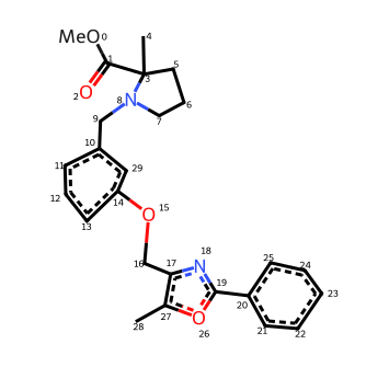 COC(=O)C1(C)CCCN1Cc1cccc(OCc2nc(-c3ccccc3)oc2C)c1